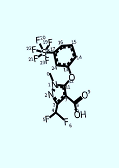 Cn1nc(C(F)F)c(C(=O)O)c1Oc1cccc(S(F)(F)(F)(F)F)c1